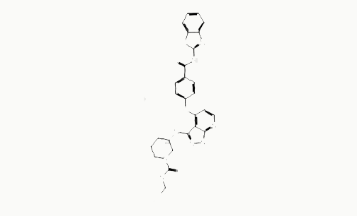 CCNC(=O)N1CCC[C@@H](Nc2n[nH]c3nccc(Oc4ccc(C(=O)Nc5nc6ccccc6s5)cc4)c23)C1.Cl